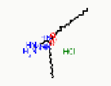 CCCCCCCCCCCCCCCCOC(=O)NC(CCCNC(=N)N)C(=O)NCCCCCCCCCCCC.Cl